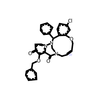 O=C1c2c(OCc3ccccc3)c(=O)ccn2N2CN1C/C=C\COc1cc(Cl)ccc1C2c1ccccc1